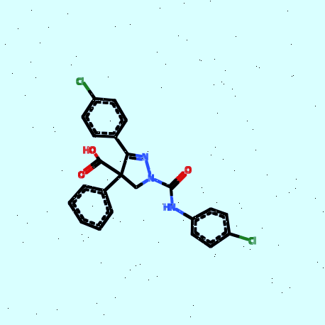 O=C(Nc1ccc(Cl)cc1)N1CC(C(=O)O)(c2ccccc2)C(c2ccc(Cl)cc2)=N1